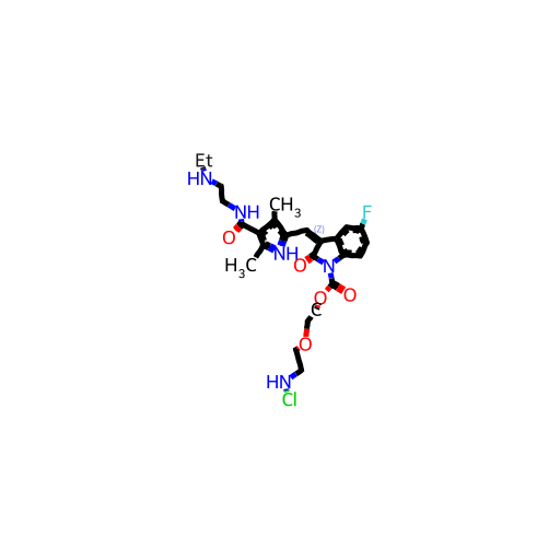 CCNCCNC(=O)c1c(C)[nH]c(/C=C2\C(=O)N(C(=O)OCCOCCNCl)c3ccc(F)cc32)c1C